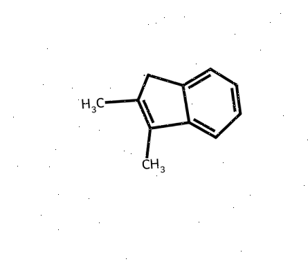 CC1=C(C)c2ccccc2[CH]1